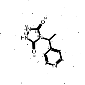 CC(c1ccncc1)n1c(=O)[nH][nH]c1=O